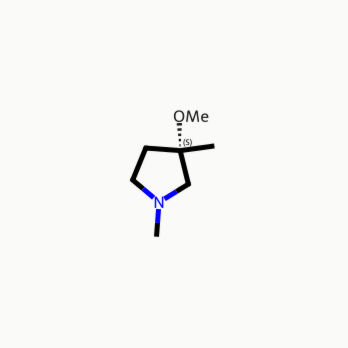 CO[C@@]1(C)CCN(C)C1